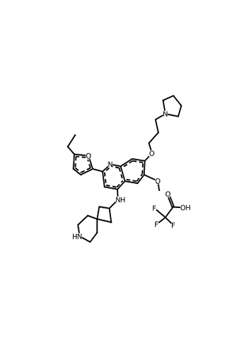 CCc1ccc(-c2cc(NC3CC4(CCNCC4)C3)c3cc(OC)c(OCCCN4CCCC4)cc3n2)o1.O=C(O)C(F)(F)F